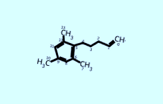 [CH]=CCCCc1c(C)cc(C)cc1C